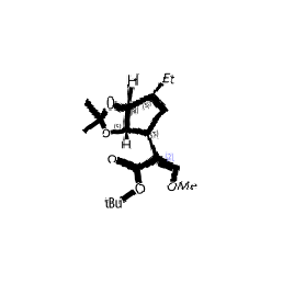 CC[C@H]1C[C@@H](/C(=C/OC)C(=O)OC(C)(C)C)[C@@H]2OC(C)(C)O[C@H]12